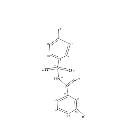 Cc1ccc(S(=O)(=O)NC(=O)c2cccc(C)c2)cc1